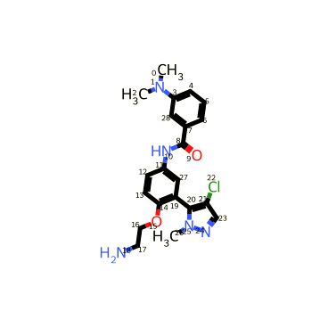 CN(C)c1cccc(C(=O)Nc2ccc(OCCN)c(-c3c(Cl)cnn3C)c2)c1